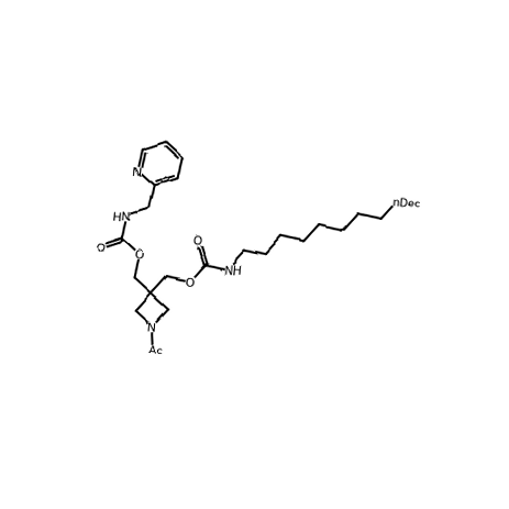 CCCCCCCCCCCCCCCCCCNC(=O)OCC1(COC(=O)NCc2ccccn2)CN(C(C)=O)C1